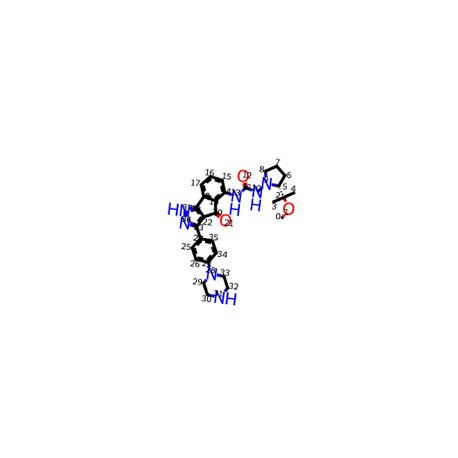 COC(C)(C)[C@H]1CCCN1NC(=O)Nc1cccc2c1C(=O)c1c(-c3ccc(N4CCNCC4)cc3)n[nH]c1-2